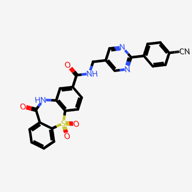 N#Cc1ccc(-c2ncc(CNC(=O)c3ccc4c(c3)NC(=O)c3ccccc3S4(=O)=O)cn2)cc1